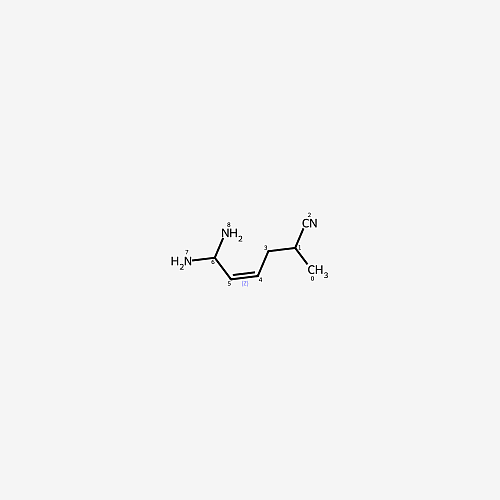 CC(C#N)C/C=C\C(N)N